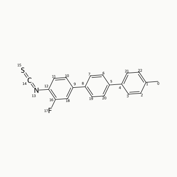 Cc1ccc(-c2ccc(-c3ccc(N=C=S)c(F)c3)cc2)cc1